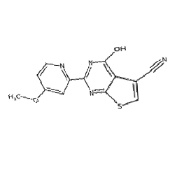 COc1ccnc(-c2nc(O)c3c(C#N)csc3n2)c1